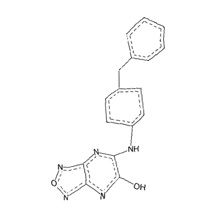 Oc1nc2nonc2nc1Nc1ccc(Cc2ccccc2)cc1